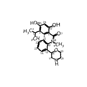 CC(C)c1cc(C(=O)N(C)c2ccccc2C2CNCCO2)c(O)cc1O